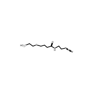 [N-]=[N+]=NCCNC(=O)CCCSCCC(=O)O